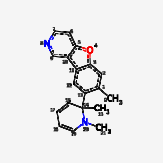 Cc1cc2oc3ccncc3c2cc1C1(C)C=CC=CN1C